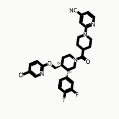 N#Cc1ccnc(N2CCC(C(=O)N3CC[C@H](COc4ccc(Cl)cn4)[C@@H](c4ccc(F)c(F)c4)C3)CC2)c1